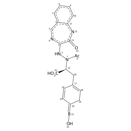 CC(=O)N(Nc1ncc2ccccc2nc1=O)[C@@H](CC1=CC/C(=B/O)C=C1)C(=O)O